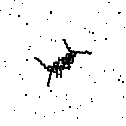 CCCCCCCc1ccc(OC(=O)NCC2(C)CC(NC(=O)Oc3ccc(CCCCCCC)cc3CCCCCCC)CC(C)(C)C2)c(CCCCCCC)c1